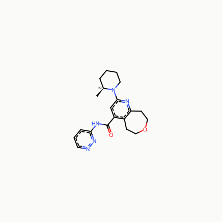 C[C@H]1CCCCN1c1cc(C(=O)Nc2cccnn2)c2c(n1)CCOCC2